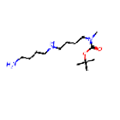 CN(CCCCNCCCCN)C(=O)OC(C)(C)C